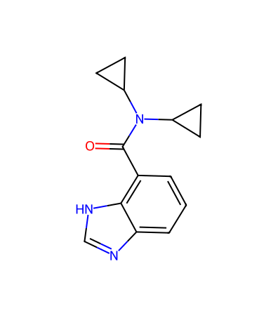 O=C(c1cccc2nc[nH]c12)N(C1CC1)C1CC1